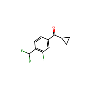 O=C(c1ccc(C(F)F)c(F)c1)C1CC1